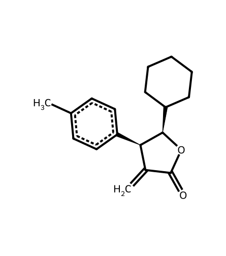 C=C1C(=O)O[C@H](C2CCCCC2)[C@@H]1c1ccc(C)cc1